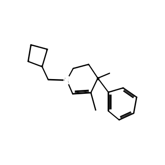 CC1=CN(CC2CCC2)CCC1(C)c1ccccc1